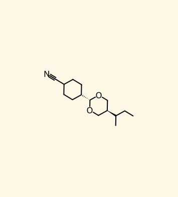 CCC(C)[C@H]1CO[C@H](C2CCC(C#N)CC2)OC1